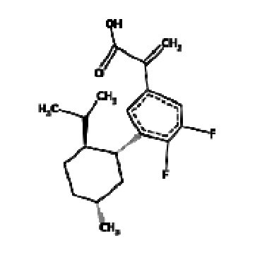 C=C(C(=O)O)c1cc(F)c(F)c([C@@H]2C[C@H](C)CC[C@H]2C(C)C)c1